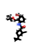 Cc1cc(C2(C)CC2)ccc1C(=O)Nc1cccc(Br)c1CO[Si](C)(C)C(C)(C)C